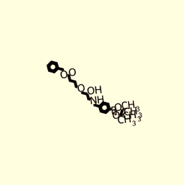 CC1(C)OB(c2ccc(CNCC(O)COCCCC(=O)OCc3ccccc3)cc2)OC1(C)C